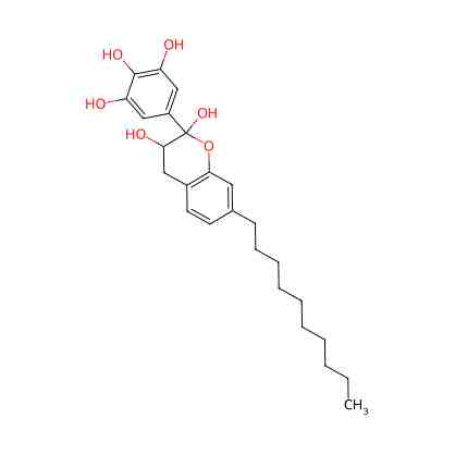 CCCCCCCCCCc1ccc2c(c1)OC(O)(c1cc(O)c(O)c(O)c1)C(O)C2